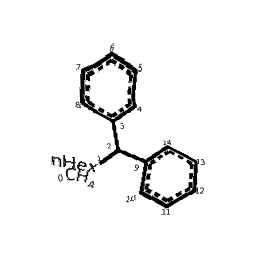 C.CCCCCCC(c1ccccc1)c1ccccc1